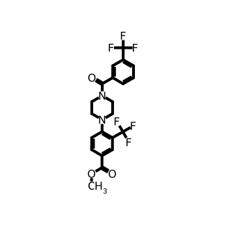 COC(=O)c1ccc(N2CCN(C(=O)c3cccc(C(F)(F)F)c3)CC2)c(C(F)(F)F)c1